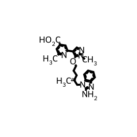 Cc1cc(C(=O)O)cc(-c2cnn(C)c2OCCC[C@@H](C)Cn2c(N)nc3ccccc32)n1